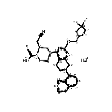 Cl.N#CCC1CN(c2nc(OCC3CC(F)(F)CN3)nc3c2CCN(c2cccc4ccccc24)C3)CCN1C(=O)O